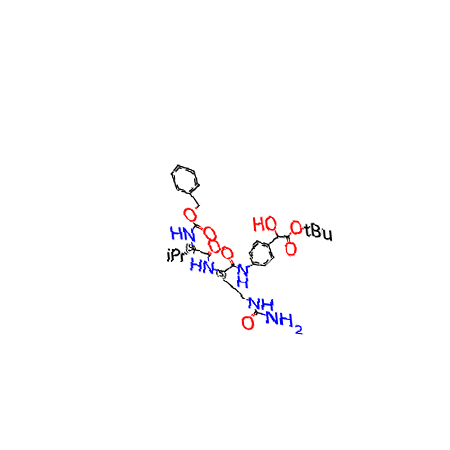 CC(C)[C@H](NC(=O)OCc1ccccc1)C(=O)N[C@@H](CCCNC(N)=O)C(=O)Nc1ccc(C(O)C(=O)OC(C)(C)C)cc1